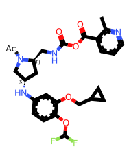 CC(=O)N1C[C@@H](Nc2ccc(OC(F)F)c(OCC3CC3)c2)C[C@@H]1CNC(=O)OC(=O)c1cccnc1C